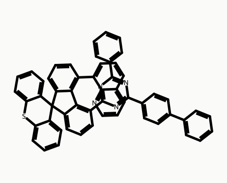 c1ccc(-c2ccc(-c3nc(-c4ccccc4)nc(-c4cccc5c4-c4c(-c6cccc7cccnc67)cccc4C54c5ccccc5Sc5ccccc54)n3)cc2)cc1